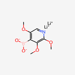 COc1cnc(OC)c(OC)c1B([O-])[O-].[Li+].[Li+]